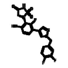 O=C1CN(c2c(O)ccc(-c3cnn(Cc4ccc(F)c(F)c4)c3)c2F)S(=O)(=O)N1